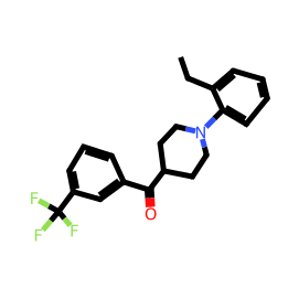 CCc1ccccc1N1CCC(C(=O)c2cccc(C(F)(F)F)c2)CC1